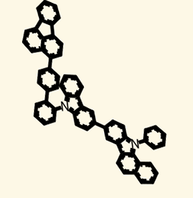 c1ccc(-n2c3ccc(-c4ccc5c(c4)c4ccccc4n5-c4ccccc4-c4ccc(-c5ccc6c7c(cccc57)-c5ccccc5-6)cc4)cc3c3ccc4ccccc4c32)cc1